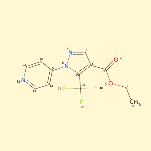 CCOC(=O)c1cnn(-c2ccncc2)c1C(F)(F)F